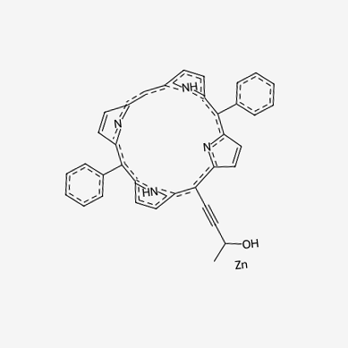 CC(O)C#Cc1c2nc(c(-c3ccccc3)c3ccc(cc4nc(c(-c5ccccc5)c5ccc1[nH]5)C=C4)[nH]3)C=C2.[Zn]